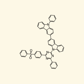 O=S(=O)(c1ccccc1)c1ccc(-c2nc(-c3ccccc3)nc(-n3c4ccccc4c4cc(-c5ccc6c(c5)c5ccccc5n6-c5ccccc5)ccc43)n2)cc1